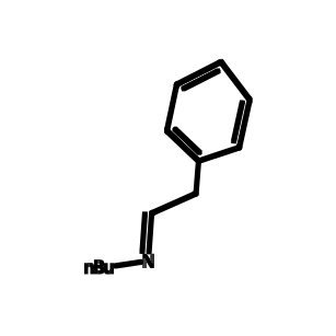 CCCCN=CCc1ccccc1